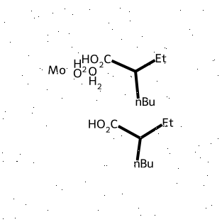 CCCCC(CC)C(=O)O.CCCCC(CC)C(=O)O.O.O.[Mo]